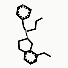 CCCN(Cc1ccncc1)[C@@H]1CCc2cccc(CC)c2C1